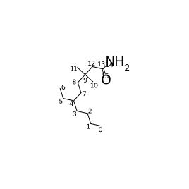 CCCCC(CC)CCC(C)(C)CC(N)=O